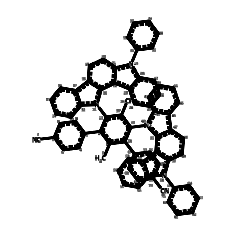 Cc1c(-c2ccc(C#N)cc2)c(-n2c3ccccc3c3ccc4c(c5ccccc5n4-c4ccccc4)c32)c(C)c(-n2c3ccccc3c3ccc4c(c5ccccc5n4-c4ccccc4)c32)c1-c1ccc(C#N)cc1